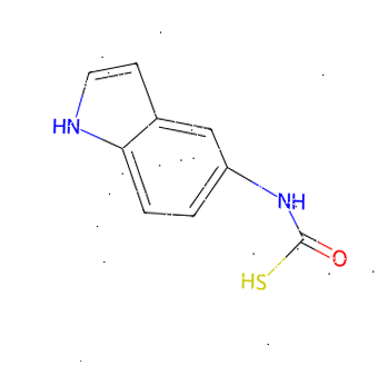 O=C(S)Nc1ccc2[nH]ccc2c1